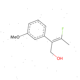 COc1cccc(/C(CO)=C(/C)F)c1